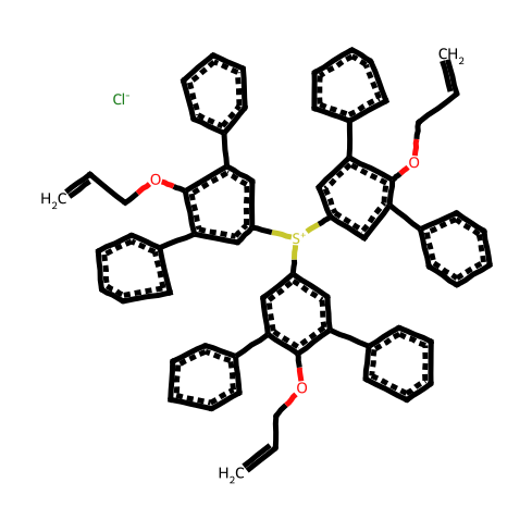 C=CCOc1c(-c2ccccc2)cc([S+](c2cc(-c3ccccc3)c(OCC=C)c(-c3ccccc3)c2)c2cc(-c3ccccc3)c(OCC=C)c(-c3ccccc3)c2)cc1-c1ccccc1.[Cl-]